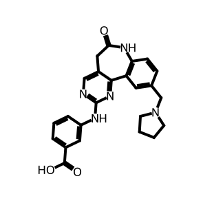 O=C1Cc2cnc(Nc3cccc(C(=O)O)c3)nc2-c2cc(CN3CCCC3)ccc2N1